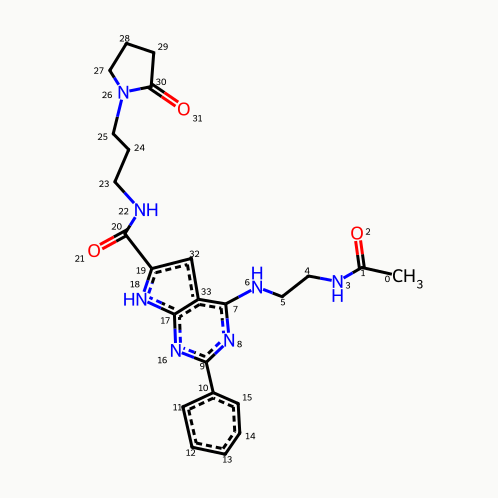 CC(=O)NCCNc1nc(-c2ccccc2)nc2[nH]c(C(=O)NCCCN3CCCC3=O)cc12